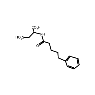 O=C(CCCCc1ccccc1)N[C@@H](CS(=O)(=O)O)C(=O)O